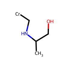 CC(CO)N[CH2][Cr]